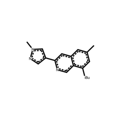 CCC(C)c1cc(C)cc2cc(-c3cnn(C)c3)ncc12